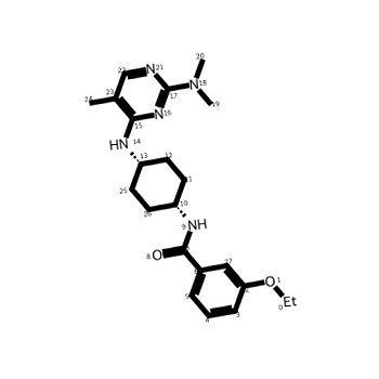 CCOc1cccc(C(=O)N[C@H]2CC[C@@H](Nc3nc(N(C)C)ncc3C)CC2)c1